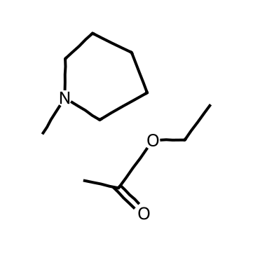 CCOC(C)=O.CN1CCCCC1